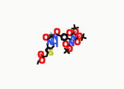 CCOC(=O)Cc1cc2c(s1)CCN(C(=O)[C@H](C)NC(=O)c1ccc(C(=NC(=O)OC(C)(C)C)N(C(=O)OC(C)(C)C)C(=O)OC(C)(C)C)cc1)C2